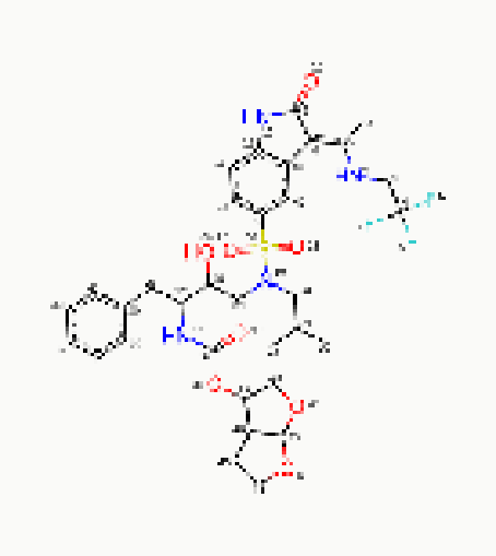 CC(NCC(F)(F)F)=C1C(=O)Nc2ccc(S(=O)(=O)N(CC(C)C)CC(O)C(Cc3ccccc3)NC(=O)OC3COC4OCCC34)cc21